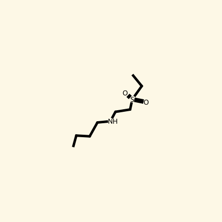 CCCCNCCS(=O)(=O)CC